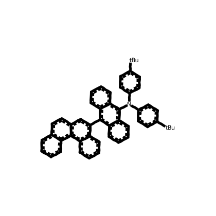 CC(C)(C)c1ccc(N(c2ccc(C(C)(C)C)cc2)c2c3ccccc3c(-c3cc4ccc5ccccc5c4c4ccccc34)c3ccccc23)cc1